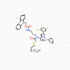 CC(C)(C)[C@H](c1cc(-c2cc(F)ccc2F)cn1Cc1ccccc1)N(CCCNC(=O)OCC1c2ccccc2-c2ccccc21)C(=O)CSCCC(=O)O